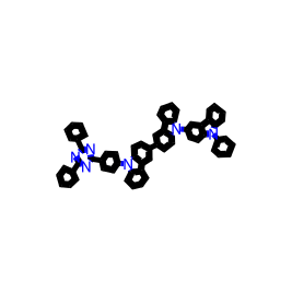 c1ccc(-c2nc(-c3ccccc3)nc(-c3ccc(-n4c5ccccc5c5cc(-c6ccc7c(c6)c6ccccc6n7-c6ccc7c(c6)c6ccccc6n7-c6ccccc6)ccc54)cc3)n2)cc1